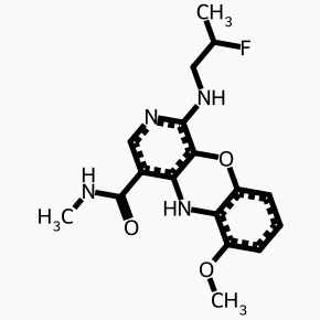 CNC(=O)c1cnc(NCC(C)F)c2c1Nc1c(OC)cccc1O2